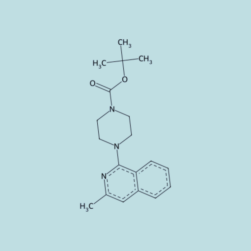 Cc1cc2ccccc2c(N2CCN(C(=O)OC(C)(C)C)CC2)n1